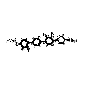 CCCCCCCCCOc1ccc(-c2ccc(-c3ccc(C4CCC(CCCCCCC)CO4)c(F)c3F)cc2)c(F)c1F